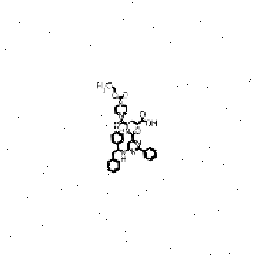 CCOC(=O)N1CCN(C(=O)[C@H](CCC(=O)O)NC(=O)c2cc(NC(Cc3ccccc3)c3ccccc3)nc(-c3ccccc3)n2)CC1